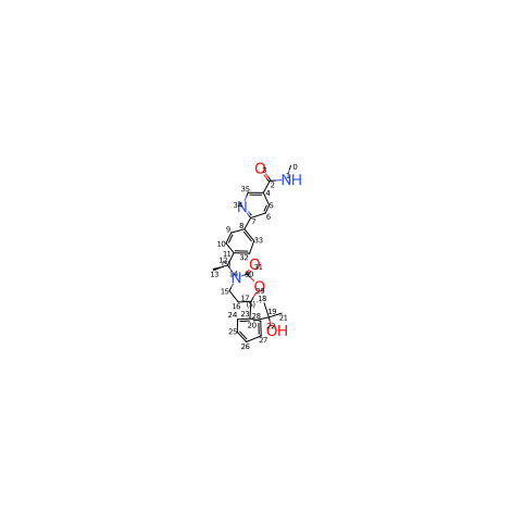 CNC(=O)c1ccc(-c2ccc([C@H](C)N3CC[C@](CC(C)(C)O)(c4ccccc4)OC3=O)cc2)nc1